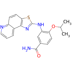 CC(C)Oc1ccc(C(N)=O)cc1Nc1nc2c(ccc3ncccc32)s1